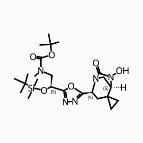 CN(C[C@H](O[Si](C)(C)C(C)(C)C)c1nnc([C@@H]2CC3(CC3)[C@H]3CN2C(=O)N3O)o1)C(=O)OC(C)(C)C